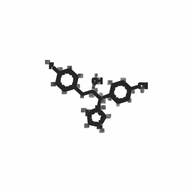 N#Cc1ccc([C@H]([C@@H](O)Cc2ccc(F)cc2)n2cncn2)cc1